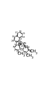 Cc1cc(-c2c(C)ccc3c2oc2c4ccccc4ccc32)[n+](C)cc1C